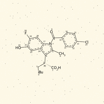 CCC(C)C[C@@H](C(=O)O)c1c(C)n(C(=O)c2ccc(Cl)cc2)c2cc(F)c(O)cc12